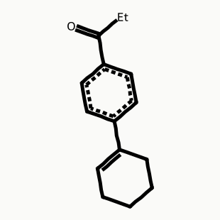 CCC(=O)c1ccc(C2=CCCCC2)cc1